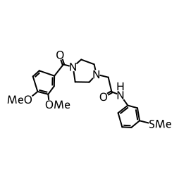 COc1ccc(C(=O)N2CCN(CC(=O)Nc3cccc(SC)c3)CC2)cc1OC